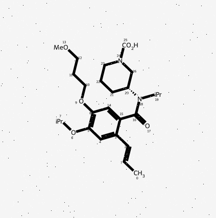 CC=Cc1cc(OC(C)C)c(OCCCOC)cc1C(=O)N(C(C)C)[C@@H]1CCCN(C(=O)O)C1